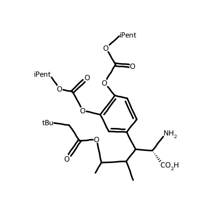 CCCC(C)OC(=O)Oc1ccc(C(C(C)C(C)OC(=O)CC(C)(C)C)[C@H](N)C(=O)O)cc1OC(=O)OC(C)CCC